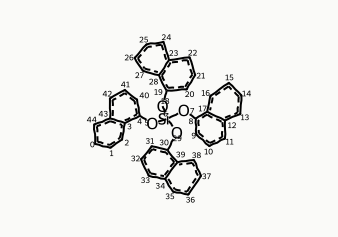 c1ccc2c(O[Si](Oc3cccc4ccccc34)(Oc3cccc4ccccc34)Oc3cccc4ccccc34)cccc2c1